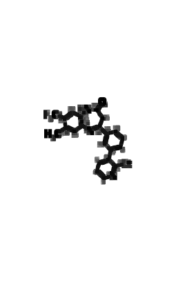 CCc1ncccc1-c1cccc(C2=Nc3cc(C)c(C(F)(F)F)cc3NC(=O)C2)c1